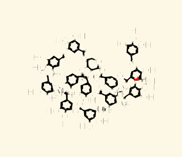 O=C(Oc1cc(C(=O)Oc2cc(C(=O)O[C@@H]3OC[C@@H](OC(=O)c4cc(O)c(O)c(OC(=O)c5cc(O)c(O)c(OC(=O)c6cc(O)c(O)c(O)c6)c5)c4)[C@H](OC(=O)c4cc(O)c(O)c(OC(=O)c5cc(O)c(O)c(OC(=O)c6cc(O)c(O)c(O)c6)c5)c4)[C@H]3OC(=O)c3cc(O)c(O)c(OC(=O)c4cc(O)c(O)c(OC(=O)c5cc(O)c(O)c(O)c5)c4)c3)cc(O)c2O)cc(O)c1O)c1cc(O)c(O)c(O)c1